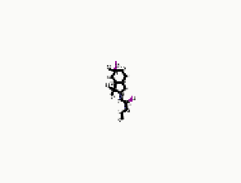 C=C/C=C(I)\C=C1/CC2CCC(C)(I)CC2C1(C)C